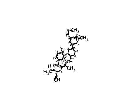 C#C/C(C=C)=C/C(=C(\C)NCc1ccc(C(/C=C(CCC)/N=C\C)=C/N=C)cc1)[C@@H](C)c1ccc(F)cc1